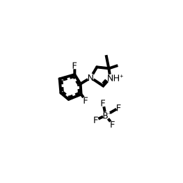 CC1(C)CN(c2c(F)cccc2F)C=[NH+]1.F[B-](F)(F)F